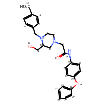 O=C(CN1CCN(Cc2ccc(C(=O)O)cc2)C(CO)C1)Nc1ccc(Oc2ccccc2)cc1